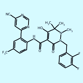 CN1N(Cc2cccc(F)c2F)C(=O)C(C(=O)Nc2ccc(C(F)(F)F)cc2-c2cc(C#N)ncn2)=C(O)C1(C)C